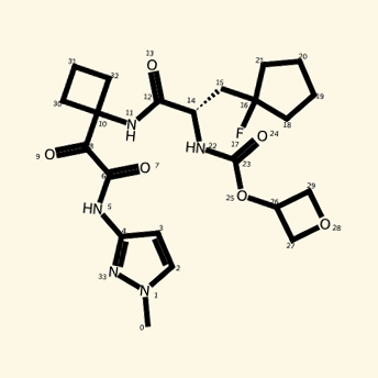 Cn1ccc(NC(=O)C(=O)C2(NC(=O)[C@H](CC3(F)CCCC3)NC(=O)OC3COC3)CCC2)n1